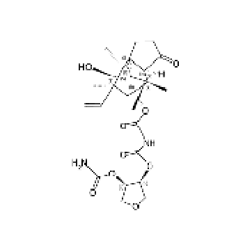 C=C[C@]1(C)C[C@@H](OC(=O)NC(=O)O[C@H]2COC[C@H]2OC(N)=O)[C@]2(C)[C@H](C)CC[C@]3(CCC(=O)[C@H]32)[C@@H](C)[C@@H]1O